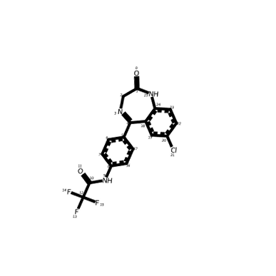 O=C1CN=C(c2ccc(NC(=O)C(F)(F)F)cc2)c2cc(Cl)ccc2N1